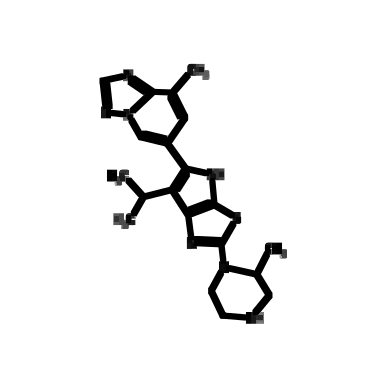 Cc1cc(-c2[nH]c3sc(N4CCNCC4C)nc3c2C(C)C)cn2ncnc12